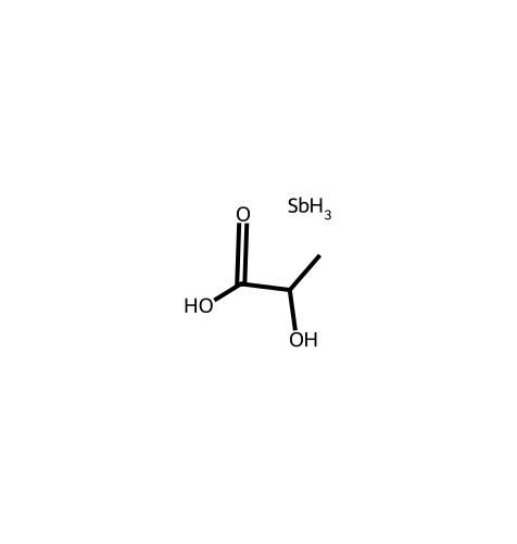 CC(O)C(=O)O.[SbH3]